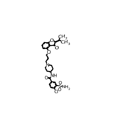 CC(C)=C1Oc2cccc(OCCCN3CCC(NC(=O)c4ccc(Cl)c(S(N)(=O)=O)c4)CC3)c2C1=O